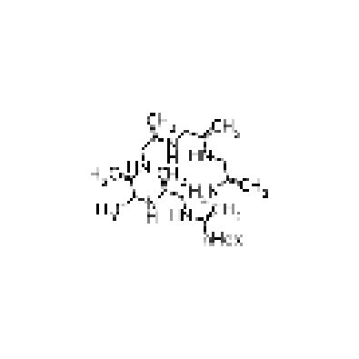 C=C(N)CNC(=C)CNC(=C)CNC(=C)C(C)NC(=C)CNC(=C)CCCCCC